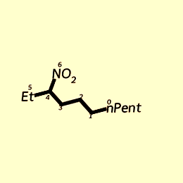 CCCCCCCCC(CC)[N+](=O)[O-]